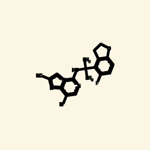 BC(B)(Nc1ncc(Br)c2nc(C#N)cn12)c1c(F)ccc2c1CCO2